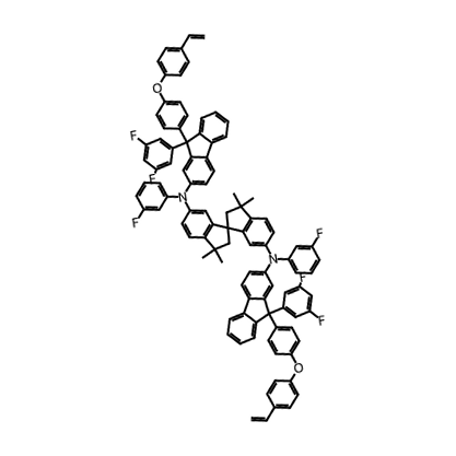 C=Cc1ccc(Oc2ccc(C3(c4cc(F)cc(F)c4)c4ccccc4-c4ccc(N(c5cccc(F)c5)c5ccc6c(c5)C5(CC6(C)C)CC(C)(C)c6ccc(N(c7cccc(F)c7)c7ccc8c(c7)C(c7ccc(Oc9ccc(C=C)cc9)cc7)(c7cc(F)cc(F)c7)c7ccccc7-8)cc65)cc43)cc2)cc1